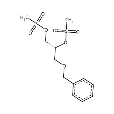 CS(=O)(=O)OC[C@@H](COCc1ccccc1)OS(C)(=O)=O